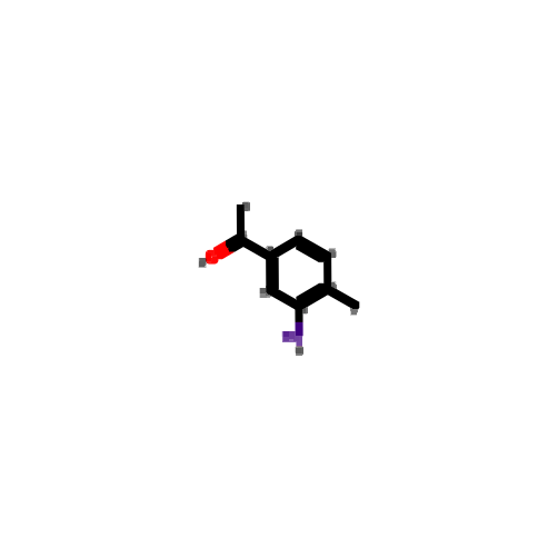 CC(=O)c1ccc(C)c([131I])c1